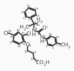 Cc1ccc(NC(=O)NC(C)(C)c2ccccc2)cc1.O=C(O)CCCOc1ccc(Cl)cc1Cl